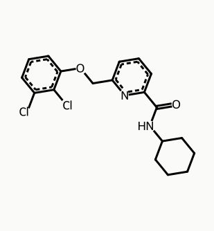 O=C(NC1CCCCC1)c1cccc(COc2cccc(Cl)c2Cl)n1